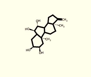 C=C1CCC2C3C(CC[C@]12C)[C@@]1(C)C[C@@H](O)[C@@H](O)CC1[C@@H](O)[C@@H]3O